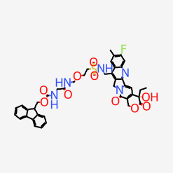 CC[C@@]1(O)C(=O)OCc2c1cc1n(c2=O)Cc2c-1nc1cc(F)c(C)cc1c2CNS(=O)(=O)CCOCNC(=O)CNC(=O)OCC1c2ccccc2-c2ccccc21